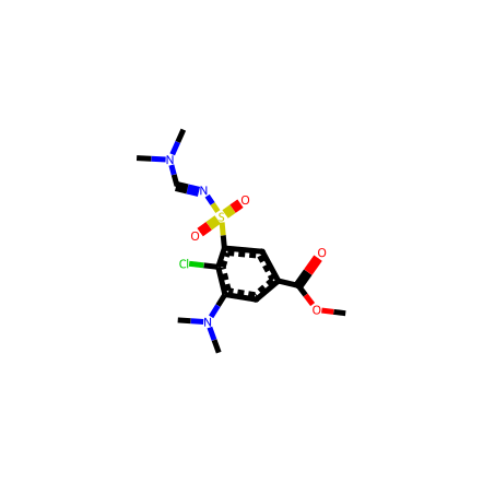 COC(=O)c1cc(N(C)C)c(Cl)c(S(=O)(=O)/N=C/N(C)C)c1